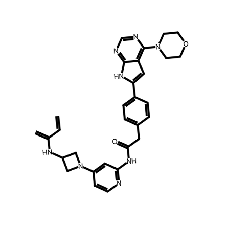 C=CC(=C)NC1CN(c2ccnc(NC(=O)Cc3ccc(-c4cc5c(N6CCOCC6)ncnc5[nH]4)cc3)c2)C1